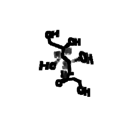 O=[13C](CO)[C@@H](O)[C@H](O)[C@H](O)CO